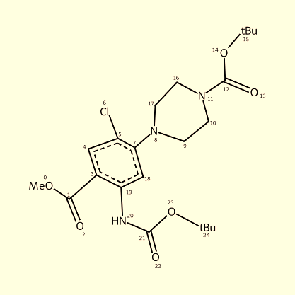 COC(=O)c1cc(Cl)c(N2CCN(C(=O)OC(C)(C)C)CC2)cc1NC(=O)OC(C)(C)C